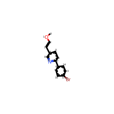 COC=Cc1ccc(-c2ccc(Br)cc2)nc1